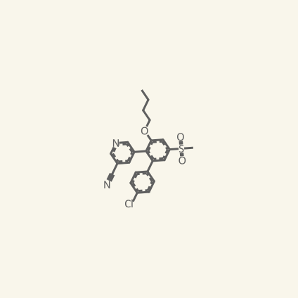 CCCCOc1cc(S(C)(=O)=O)cc(-c2ccc(Cl)cc2)c1-c1cncc(C#N)c1